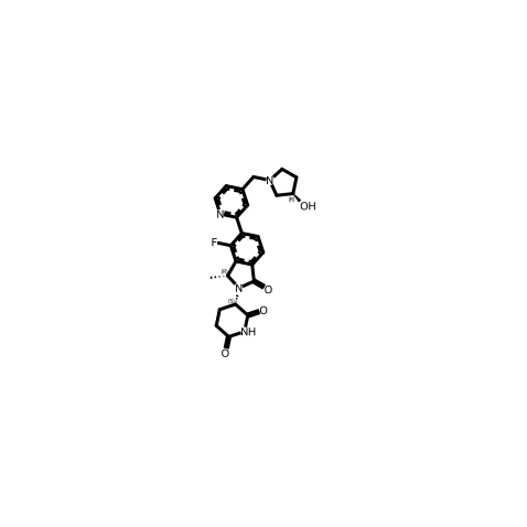 C[C@@H]1c2c(ccc(-c3cc(CN4CC[C@@H](O)C4)ccn3)c2F)C(=O)N1[C@H]1CCC(=O)NC1=O